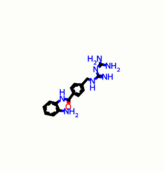 N=C(N=C(N)N)NCc1ccc(C(=O)Nc2ccccc2N)cc1